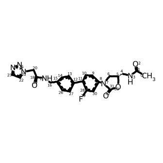 CC(=O)NC[C@H]1CN(c2ccc(-c3ccc(CNC(=O)Cn4ccnn4)cc3)c(F)c2)C(=O)O1